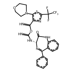 N=C(N[C@H]1N=C(c2ccccc2)c2ccccc2NC1=O)OC(=N)c1nc(C(F)(F)C(F)(F)F)sc1N1CCOCC1